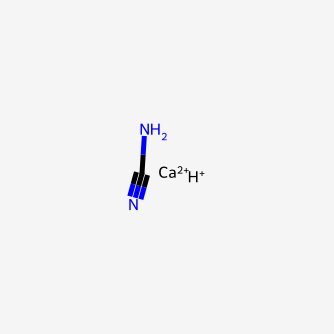 N#CN.[Ca+2].[H+]